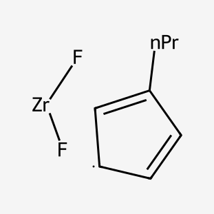 CCCC1=C[CH]C=C1.[F][Zr][F]